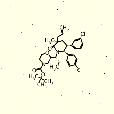 C=CC[C@@]1(C)C[C@H](c2cccc(Cl)c2)[C@@H](c2ccc(Cl)cc2)N([C@H](CC)[C@H]2CN(C(=O)OC(C)(C)C)CCO2)C1=O